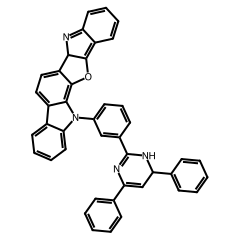 C1=C(c2ccccc2)N=C(c2cccc(-n3c4ccccc4c4ccc5c(c43)OC3=c4ccccc4=NC35)c2)NC1c1ccccc1